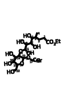 CCOC(=O)CCC(C)C(O)C(O)C(O)C(O)OC1C(OCCBr)OC(CO)C(O)C1O